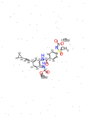 CC(C)(C)OC(=O)N=S(C)(=O)c1ccc(C(=O)Nc2cc(C#CC3CC3)ccc2NC(=O)OC(C)(C)C)cc1